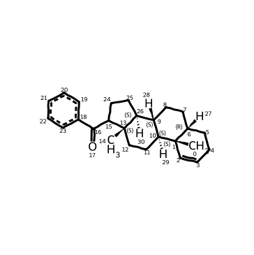 C[C@]12C=CCC[C@H]1CC[C@@H]1[C@@H]2CC[C@]2(C)C(C(=O)c3ccccc3)CC[C@@H]12